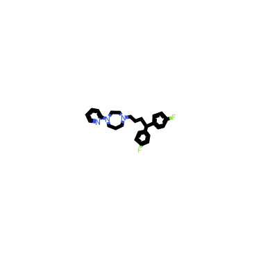 Fc1ccc(C(CCCN2CCCN(c3ccccn3)CC2)c2ccc(F)cc2)cc1